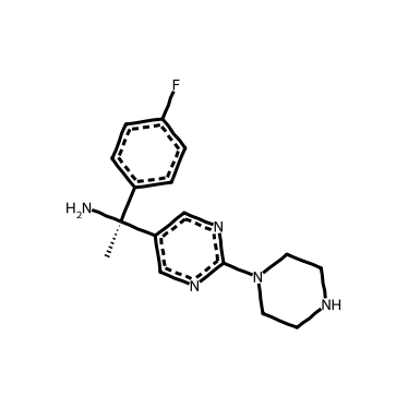 C[C@](N)(c1ccc(F)cc1)c1cnc(N2CCNCC2)nc1